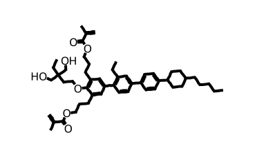 C=C(C)C(=O)OCCCc1cc(-c2ccc(-c3ccc(C4CCC(CCCCC)CC4)cc3)cc2CC)cc(CCCOC(=O)C(=C)C)c1OCCC(CC)(CO)CO